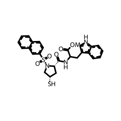 COC(=O)C(Cc1c[nH]c2ccccc12)NC(=O)[C@@H]1C[C@H](S)CN1S(=O)(=O)c1ccc2ccccc2c1